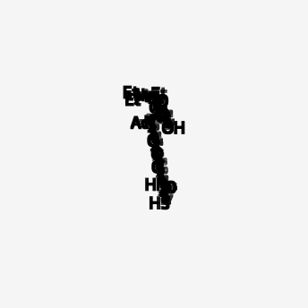 CCN(CC)CCN(CC)C(=O)Oc1ccc(CO)cc1CN(CCCOCCOCCOCCCNC(=O)CCS)C(C)=O